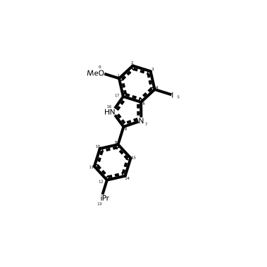 COc1ccc(I)c2nc(-c3ccc(C(C)C)cc3)[nH]c12